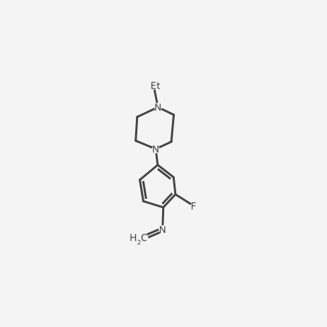 C=Nc1ccc(N2CCN(CC)CC2)cc1F